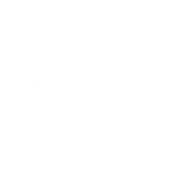 FCCCN1CCC(Oc2cccc(C3=C(Br)CCCc4ccccc43)c2)C1